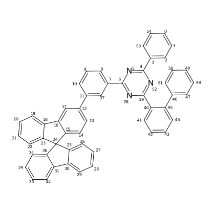 c1ccc(-c2nc(-c3cccc(-c4ccc5c(c4)-c4ccccc4C54c5ccccc5-c5ccccc54)c3)nc(-c3ccccc3-c3ccccc3)n2)cc1